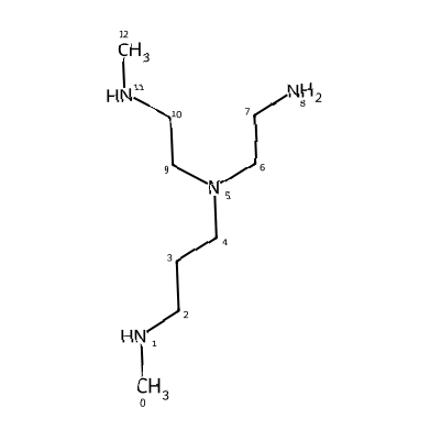 CNCCCN(CCN)CCNC